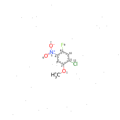 COc1cc([N+](=O)[O-])c(F)cc1Cl